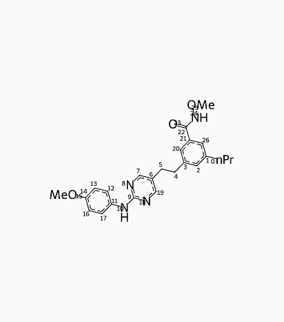 CCCc1cc(CCc2cnc(Nc3ccc(OC)cc3)nc2)cc(C(=O)NOC)c1